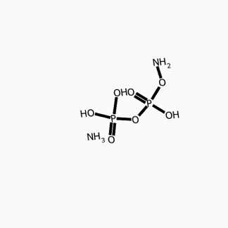 N.NOP(=O)(O)OP(=O)(O)O